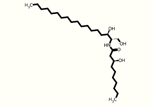 CCCCCCCCCCCCCCC[C@@H](O)[C@H](CO)NC(=O)C[C@@H](O)CCCCCCC